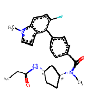 CCC(=O)N[C@H]1CC[C@@H](N(C)C(=O)c2ccc(-c3c(F)ccc4c3ccn4C)cc2)C1